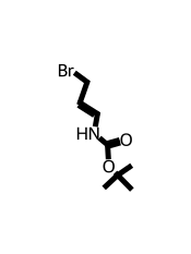 CC(C)(C)OC(=O)NC=CCBr